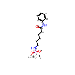 COP(C)(=O)NCCCCCC(=O)Nc1ccccc1